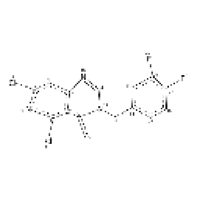 C=C1c2c(cc(Cl)nc2Cl)N=CN1Cc1ccc(F)c(F)c1